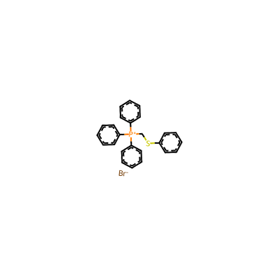 [Br-].c1ccc(SC[P+](c2ccccc2)(c2ccccc2)c2ccccc2)cc1